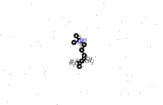 CC1(C)C2=CC=CCC2c2cc3c(cc21)-c1cc(-c2ccc4sc5c(C6N=C(c7ccccc7)c7c(sc8ccccc78)N6)cccc5c4c2)ccc1C3(C)C